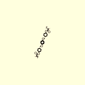 C[C@@H](F)C(=O)O[C@H]1CC[C@H](COc2ccc(OC[C@H]3CC[C@H](OC(=O)[C@@H](C)F)CC3)cc2)CC1